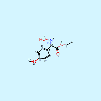 CCOC(=O)/C(=N/O)c1ccc(OC)cc1